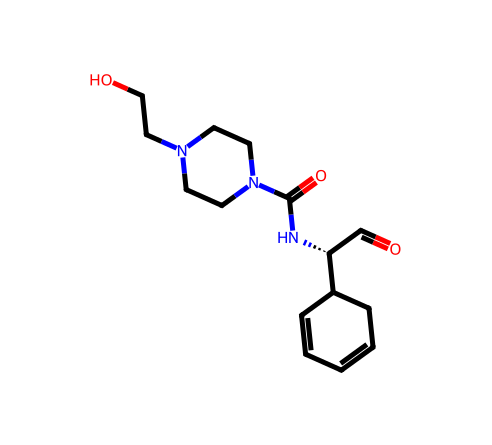 O=C[C@@H](NC(=O)N1CCN(CCO)CC1)C1C=CC=CC1